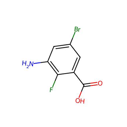 Nc1cc(Br)cc(C(=O)O)c1F